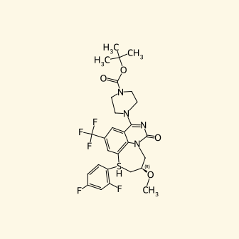 CO[C@@H]1Cn2c(=O)nc(N3CCN(C(=O)OC(C)(C)C)CC3)c3cc(C(F)(F)F)cc(c32)[SH](c2ccc(F)cc2F)C1